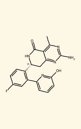 Cc1nc(N)nc2c1C(=O)N[C@@H](c1ccc(F)cc1-c1cccc(O)n1)C2